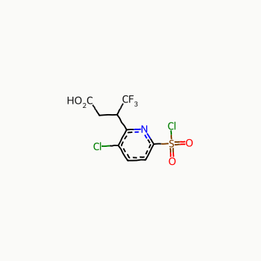 O=C(O)CC(c1nc(S(=O)(=O)Cl)ccc1Cl)C(F)(F)F